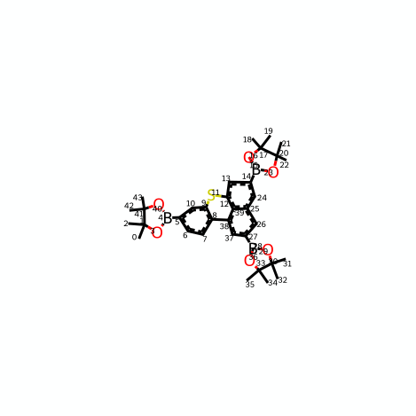 CC1(C)OB(c2ccc3c(c2)Sc2cc(B4OC(C)(C)C(C)(C)O4)cc4cc(B5OC(C)(C)C(C)(C)O5)cc-3c24)OC1(C)C